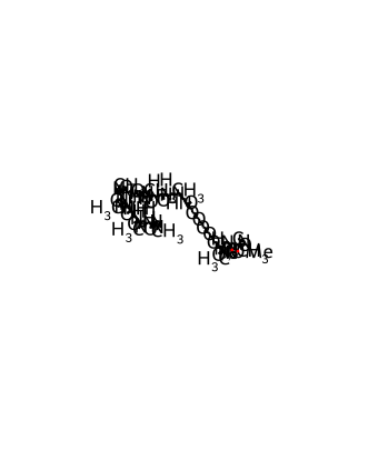 COc1cc2c(cc1-c1c(C)noc1C)ncc1c2n([C@H](C)c2ccccn2)c(=O)n1CCOCCOCCOCCOCCOCCC(=O)NCCCN(C)CCCNC(=O)CCNC(=O)c1nc(NC(=O)CCNC(=O)c2c(NC(=O)c3nc(NC(=O)CCNC(=O)c4cc(NC(=O)c5nccn5C)cn4C)cn3C)ccn2C)cn1C